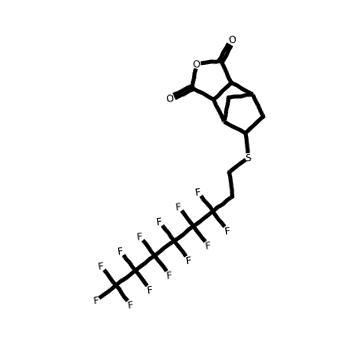 O=C1OC(=O)C2C3CC(CC3SCCC(F)(F)C(F)(F)C(F)(F)C(F)(F)C(F)(F)C(F)(F)F)C12